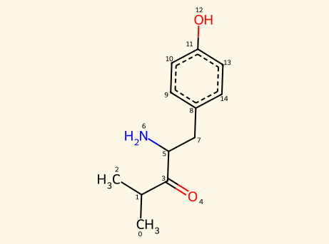 CC(C)C(=O)C(N)Cc1ccc(O)cc1